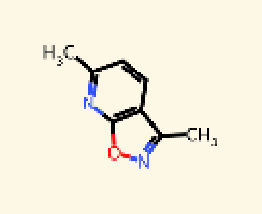 Cc1ccc2c(C)noc2n1